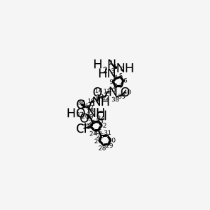 N=C(N)Nc1ccc2c(c1)N(CCC(=O)NCC(NC(=O)c1c(Cl)cc(-c3ccccc3)cc1Cl)C(=O)O)CCO2